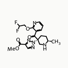 COC(=O)c1cnn([C@]2(C(=O)c3cccnc3OCC(F)F)CC[C@@H](C)NC2)n1